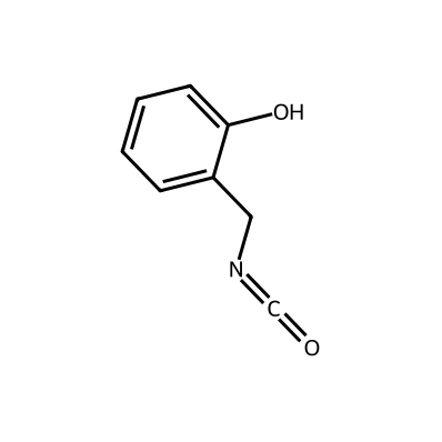 O=C=NCc1ccccc1O